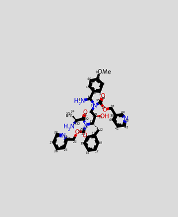 COc1ccc(C(N)N(C[C@@H](O)[C@H](Cc2ccccc2)N(C(=O)OCc2ccccn2)C(=O)[C@@H](N)C(C)C)C(=O)OCc2cccnc2)cc1